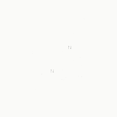 C/C=C\C(=C/CC)c1ccc(N(c2ccc(-c3ccccc3)cc2)c2ccc(C3(c4ccc(N(c5ccc(-c6ccccc6)cc5)c5ccc(-c6ccccc6)cc5)cc4)C4=CC=CCC4c4ccccc43)cc2)cc1